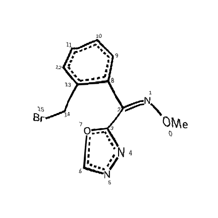 CON=C(c1nnco1)c1ccccc1CBr